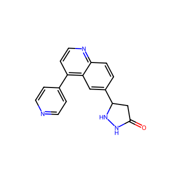 O=C1CC(c2ccc3nccc(-c4ccncc4)c3c2)NN1